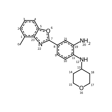 Cc1cccc2oc(-c3ccc(NC4CCOCC4)c(N)c3)nc12